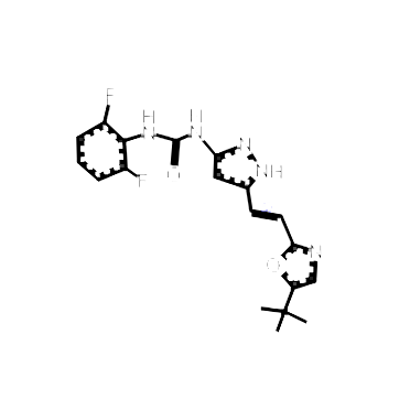 CC(C)(C)c1cnc(/C=C/c2cc(NC(=O)Nc3c(F)cccc3F)n[nH]2)o1